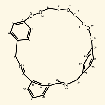 C1=N/Cc2ccc(cc2)COCCOCCOCc2ccc(cc2)C/N=C/c2cccc/1c2